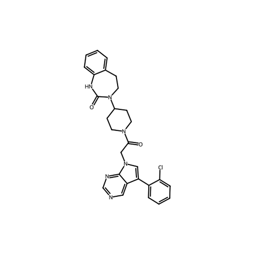 O=C(Cn1cc(-c2ccccc2Cl)c2cncnc21)N1CCC(N2CCc3ccccc3NC2=O)CC1